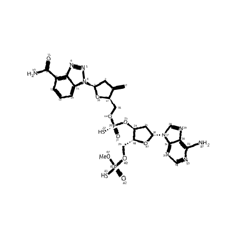 C=C1C[C@H](n2nnc3c(C(N)=O)cccc32)O[C@@H]1CO[P@@](=O)(S)O[C@H]1C[C@H](n2cnc3c(N)ncnc32)O[C@@H]1COP(=O)(S)OC